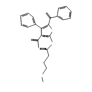 CSCCCc1nc(=O)c2c(-c3ccccc3)c(C(=O)c3ccccc3)[nH]c2[nH]1